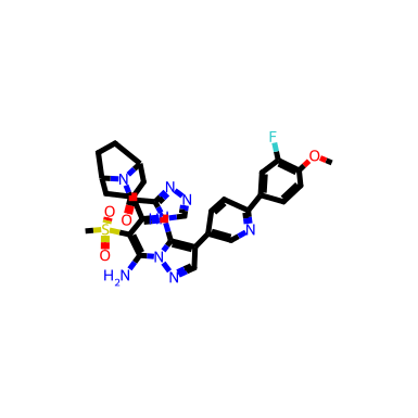 COc1ccc(-c2ccc(-c3cnn4c(N)c(S(C)(=O)=O)c(C5CC6CCC(C5)N6C(=O)c5nnc[nH]5)nc34)cn2)cc1F